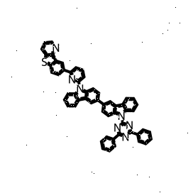 c1ccc(-c2nc(-c3ccccc3)nc(-n3c4ccccc4c4cc(-c5ccc6c(c5)c5ccccc5n6-c5cccc(-c6ccc7sc8cccnc8c7c6)n5)ccc43)n2)cc1